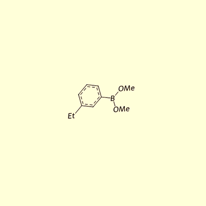 CCc1cccc(B(OC)OC)c1